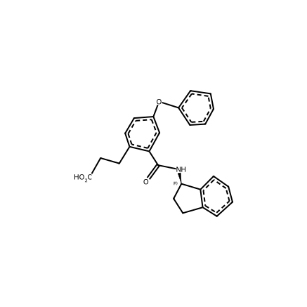 O=C(O)CCc1ccc(Oc2ccccc2)cc1C(=O)N[C@@H]1CCc2ccccc21